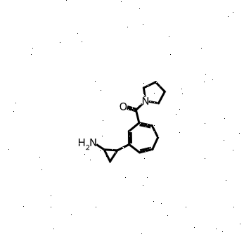 NC1CC1C1=CC(C(=O)N2CCCC2)=CCC=C1